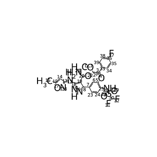 COC[C@H](Oc1cc(-c2n[nH]c(Nc3cc(C)on3)c2C(N)=O)ccc1NS(=O)(=O)C(F)F)c1ccc(F)cc1